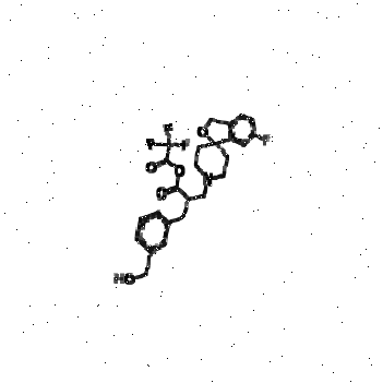 O=C(OC(=O)C(F)(F)F)C(Cc1cccc(CO)c1)CN1CCC2(CC1)OCc1ccc(F)cc12